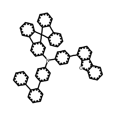 c1ccc(-c2ccccc2-c2ccc(N(c3ccc(-c4cccc5c4oc4ccccc45)cc3)c3ccc4c(c3)C3(c5ccccc5-c5ccccc53)c3ccccc3-4)cc2)cc1